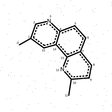 Cc1cnc2ccc3ccc(C)nc3c2c1